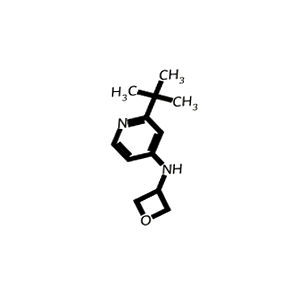 CC(C)(C)c1cc(NC2COC2)ccn1